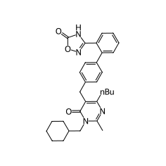 CCCCc1nc(C)n(CC2CCCCC2)c(=O)c1Cc1ccc(-c2ccccc2-c2noc(=O)[nH]2)cc1